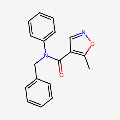 Cc1oncc1C(=O)N(Cc1ccccc1)c1ccccc1